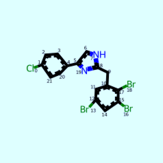 Clc1ccc(-c2c[nH]c(Cc3cc(Br)cc(Br)c3Br)n2)cc1